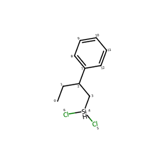 CCC(C[SiH](Cl)Cl)c1ccccc1